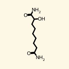 NC(=O)CCCCCCC(O)C(N)=O